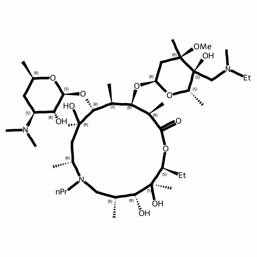 CCCN1C[C@@H](C)[C@@H](O)[C@](C)(O)[C@H](CC)OC(=O)[C@H](C)[C@H](O[C@H]2C[C@@](C)(OC)[C@](O)(CN(C)CC)[C@H](C)O2)[C@H](C)[C@@H](O[C@@H]2O[C@H](C)C[C@H](N(C)C)[C@H]2O)[C@](C)(O)C[C@H]1C